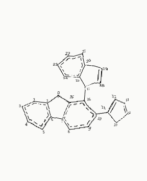 [CH]1c2ccccc2-c2ccc(C3=CC=CC3)c(C3C=Cc4ccccc43)c21